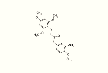 COc1cc(OC)c(CC[S+]([O-])Cc2ccc(OC)c(N)c2)c(OC)c1